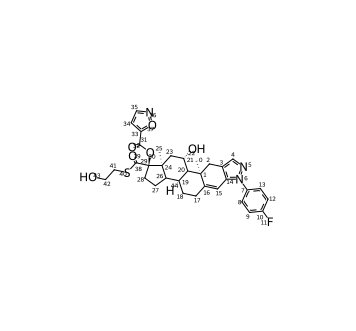 C[C@]12Cc3cnn(-c4ccc(F)cc4)c3C=C1CC[C@@H]1C2[C@@H](O)C[C@@]2(C)C1CC[C@]2(OC(=O)c1ccno1)C(=O)SCCO